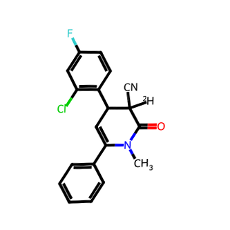 [2H]C1(C#N)C(=O)N(C)C(c2ccccc2)=CC1c1ccc(F)cc1Cl